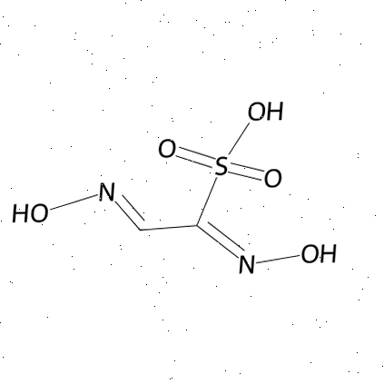 O=S(=O)(O)C(C=NO)=NO